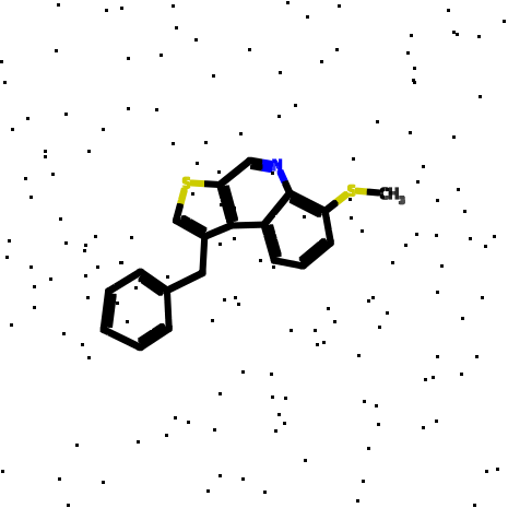 CSc1cccc2c1ncc1scc(Cc3ccccc3)c12